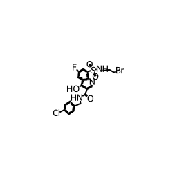 O=C(NCc1ccc(Cl)cc1)c1cnc2c(S(=O)(=O)NCCCBr)cc(F)cc2c1O